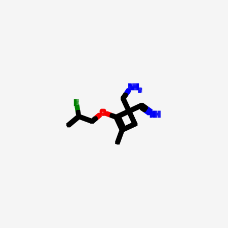 CC1=C(OCC(C)F)C(C=N)(CN)C1